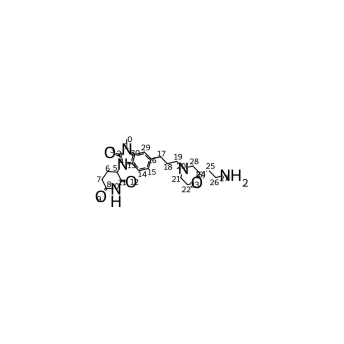 Cn1c(=O)n(C2CCC(=O)NC2=O)c2ccc(CCCN3CCO[C@@H](CCN)C3)cc21